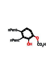 CCCCCc1ccc(OC(=O)O)c(O)c1CCCCC